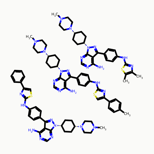 CN1CCN([C@H]2CC[C@@H](n3nc(-c4ccc(Nc5nc(-c6ccccc6)cs5)cc4)c4c(N)ncnc43)CC2)CC1.Cc1ccc(-c2csc(Nc3ccc(-c4nn([C@H]5CC[C@@H](N6CCN(C)CC6)CC5)c5ncnc(N)c45)cc3)n2)cc1.Cc1nc(Nc2ccc(-c3nn([C@H]4CC[C@@H](N5CCN(C)CC5)CC4)c4ncnc(N)c34)cc2)sc1C